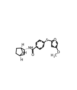 COc1coc(Sc2ccc(C(=O)N[C@@H]3C[C@H]4CC[C@@H]3N4)cc2)c1